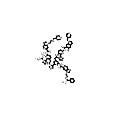 CC(OCCn1cnc2cnc(C(=O)Nc3cc(CC(C)n4cnnc4-c4cccc(NC(=O)c5cc6c(ccn6Cc6ccncc6)cc5F)n4)cc(-c4nncn4C(C)Cc4ccc(NC(=O)c5cc6c(cn5)ncn6CCOCc5ccncc5)nc4-c4nncn4C(C)C)n3)cc21)c1ccccc1